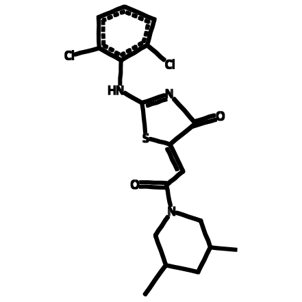 CC1CC(C)CN(C(=O)/C=C2\SC(Nc3c(Cl)cccc3Cl)=NC2=O)C1